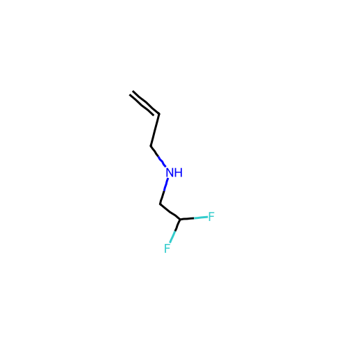 C=CCNCC(F)F